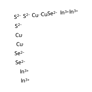 [Cu].[Cu].[Cu].[Cu].[In+3].[In+3].[In+3].[In+3].[S-2].[S-2].[S-2].[Se-2].[Se-2].[Se-2]